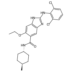 CCOc1cc2[nH]c(Nc3c(Cl)cccc3Cl)nc2cc1C(=O)N[C@H]1CC[C@H](C)CC1